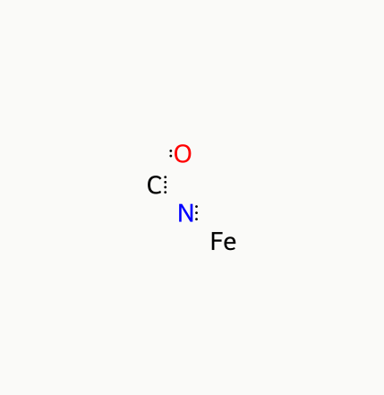 [C].[Fe].[N].[O]